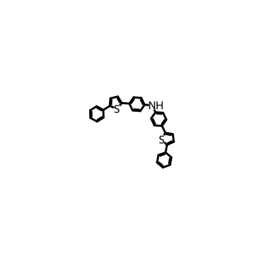 c1ccc(-c2ccc(-c3ccc(Nc4ccc(-c5ccc(-c6ccccc6)s5)cc4)cc3)s2)cc1